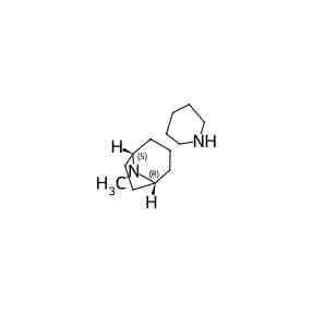 C1CCNCC1.CN1[C@@H]2CCC[C@H]1CC2